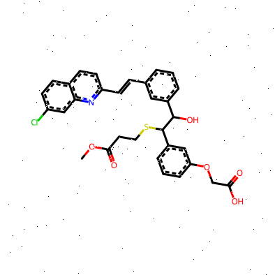 COC(=O)CCSC(c1cccc(OCC(=O)O)c1)C(O)c1cccc(/C=C/c2ccc3ccc(Cl)cc3n2)c1